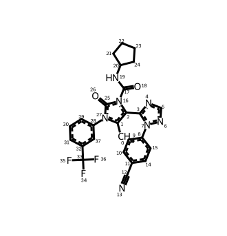 Cc1c(-c2ncnn2-c2ccc(C#N)cc2)n(C(=O)NC2CCCC2)c(=O)n1-c1cccc(C(F)(F)F)c1